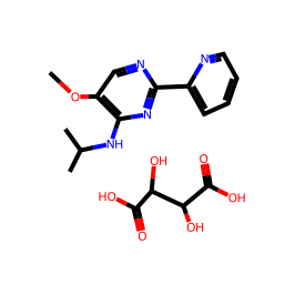 COc1cnc(-c2ccccn2)nc1NC(C)C.O=C(O)C(O)C(O)C(=O)O